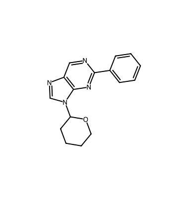 c1ccc(-c2ncc3ncn(C4CCCCO4)c3n2)cc1